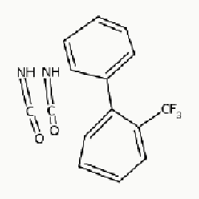 FC(F)(F)c1ccccc1-c1ccccc1.N=C=O.N=C=O